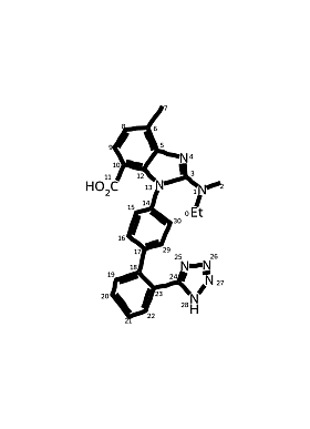 CCN(C)c1nc2c(C)ccc(C(=O)O)c2n1-c1ccc(-c2ccccc2-c2nnn[nH]2)cc1